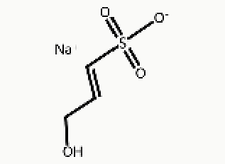 O=S(=O)([O-])C=CCO.[Na+]